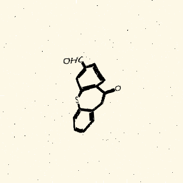 O=Cc1ccc2c(c1)Sc1ccccc1CC2=O